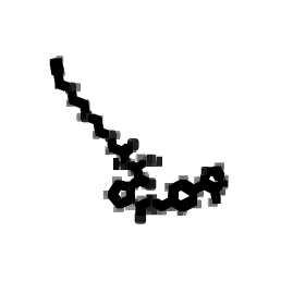 C#CCOCCOCCOCC(=O)N[C@H](C(=O)N1CCC[C@H]1C(=O)NCc1ccc(-c2scnc2C)cc1)C(C)(C)C